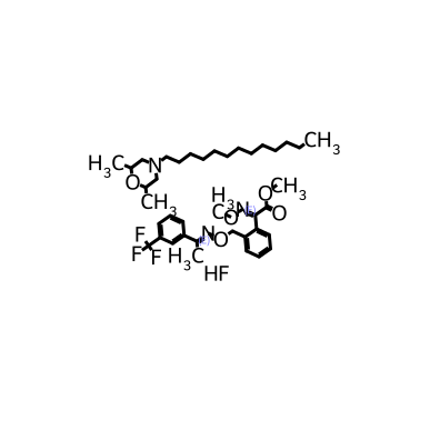 CCCCCCCCCCCCCN1CC(C)OC(C)C1.CO/N=C(/C(=O)OC)c1ccccc1CO/N=C(\C)c1cccc(C(F)(F)F)c1.F